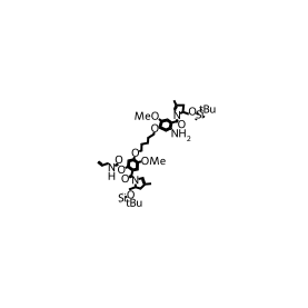 C=CCNC(=O)Oc1cc(OCCCCCOc2cc(N)c(C(=O)N3C=C(C)CC3CO[Si](C)(C)C(C)(C)C)cc2OC)c(OC)cc1C(=O)N1C=C(C)CC1CO[Si](C)(C)C(C)(C)C